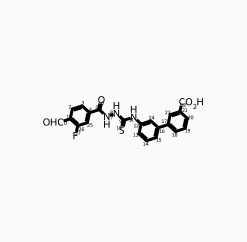 O=Cc1ccc(C(=O)NNC(=S)Nc2cccc(-c3cccc(C(=O)O)c3)c2)cc1F